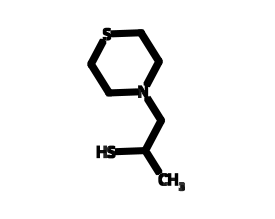 CC(S)CN1CCSCC1